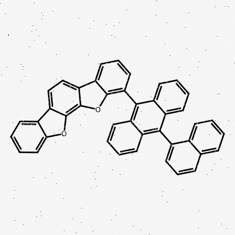 c1ccc2c(-c3c4ccccc4c(-c4cccc5c4oc4c5ccc5c6ccccc6oc54)c4ccccc34)cccc2c1